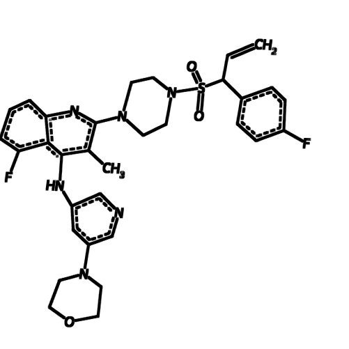 C=CC(c1ccc(F)cc1)S(=O)(=O)N1CCN(c2nc3cccc(F)c3c(Nc3cncc(N4CCOCC4)c3)c2C)CC1